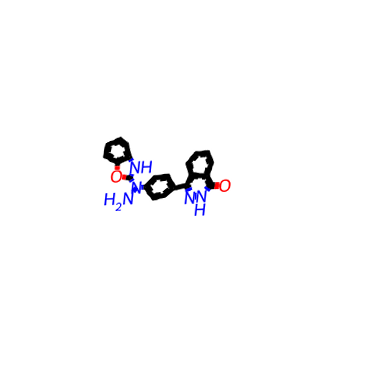 NN(c1ccc(-c2n[nH]c(=O)c3ccccc23)cc1)C1Nc2ccccc2O1